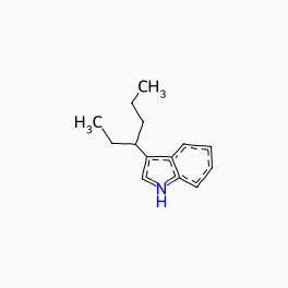 CCCC(CC)c1c[nH]c2ccccc12